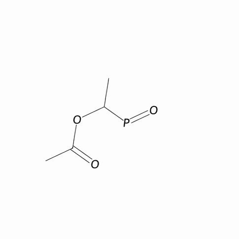 CC(=O)OC(C)P=O